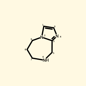 c1cn2c(n1)CNCCC2